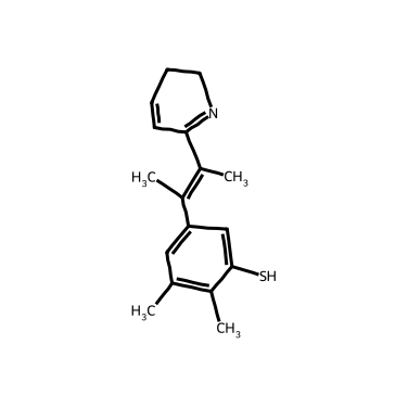 C/C(C1=NCCC=C1)=C(/C)c1cc(C)c(C)c(S)c1